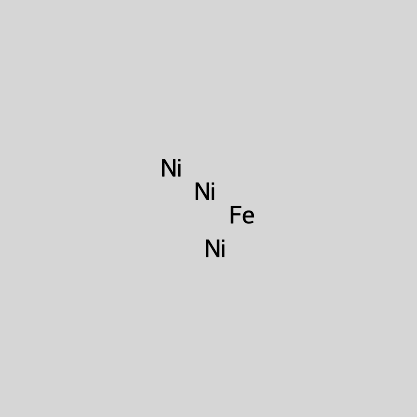 [Fe].[Ni].[Ni].[Ni]